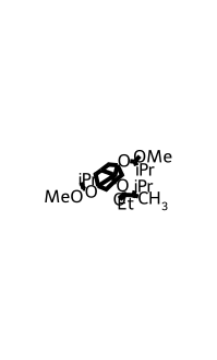 CCC(C)(C(=O)OC12CC3CC(OC(OC)C(C)C)(C1)CC(OC(OC)C(C)C)(C3)C2)C(C)C